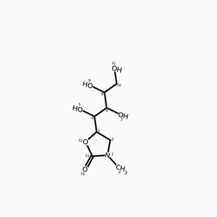 CN1CC(C(O)C(O)C(O)CO)OC1=O